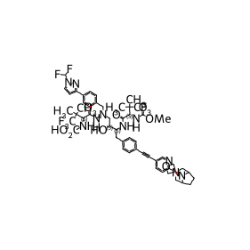 COC(=O)N[C@H](C(=O)N[C@@H](Cc1ccc(C#Cc2ccc(N3CC4CCC(C3)N4C3COC3)nc2)cc1)[C@@H](O)CN(Cc1ccc(-c2ccn(C(F)F)n2)cc1)NC(=O)[C@@H](NC(=O)O)C(C)(C)C(F)(F)F)C(C)(C)C(F)(F)F